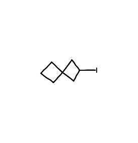 IC1CC2(CCC2)C1